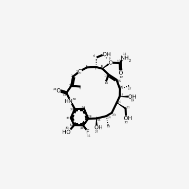 C/C1=C\CC[C@H](CO)[C@@H](OC(N)=O)/C(C)=C/[C@H](C)[C@@H](O)[C@@H](CO)C[C@H](C)[C@@H](O)c2cc(cc(O)c2F)NC1=O